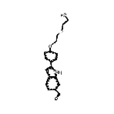 O=Cc1ccc2cc(-c3ccc(OCCOCCO)cc3)[nH]c2c1